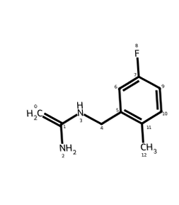 C=C(N)NCc1cc(F)ccc1C